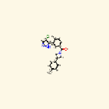 Cc1ccc(C(=O)N2CC(c3ccc(C#N)cc3)C2)cc1-c1[nH]ncc1Cl